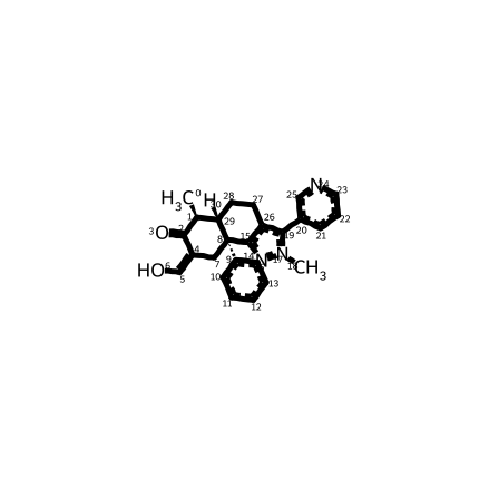 C[C@@H]1C(=O)/C(=C\O)C[C@]2(c3ccccc3)c3nn(C)c(-c4cccnc4)c3CC[C@@H]12